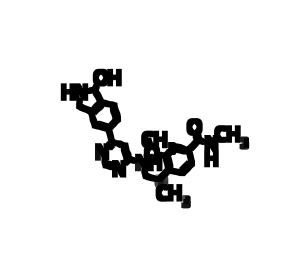 CNC(=O)c1ccc([C@H](C)CNc2cc(-c3ccc4c(c3)CNC4O)ncn2)c(OC)c1